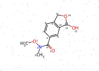 CON(C)C(=O)c1ccc2c(c1)B(O)OC2